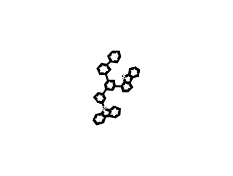 c1ccc(-c2cccc(-c3cc(-c4cccc(-n5c6ccccc6c6ccccc65)c4)cc(-c4cccc5c4sc4ccccc45)c3)c2)cc1